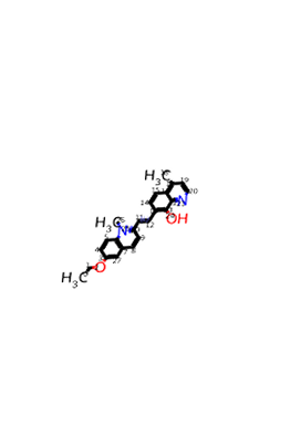 CCOc1ccc2c(ccc(/C=C/c3ccc4c(C)ccnc4c3O)[n+]2C)c1